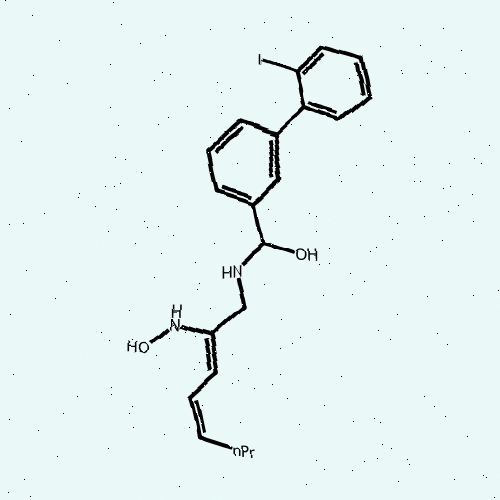 CCC/C=C\C=C(\CNC(O)c1cccc(-c2ccccc2I)c1)NO